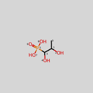 CC(O)C(O)P(=O)(O)O